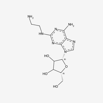 NCCNc1nc(N)c2ncn([C@@H]3O[C@H](CO)C(O)C3O)c2n1